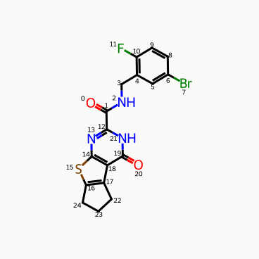 O=C(NCc1cc(Br)ccc1F)c1nc2sc3c(c2c(=O)[nH]1)CCC3